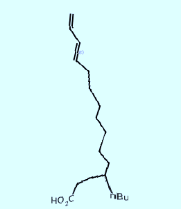 C=C/C=C/CCCCCCCC(CCCC)CC(=O)O